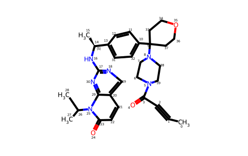 CC#CC(=O)N1CCN(C2(c3ccc([C@H](C)Nc4ncc5ccc(=O)n(C(C)C)c5n4)cc3)CCOCC2)CC1